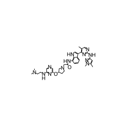 Cc1cnc(Nc2cc(C)n(C)n2)nc1-c1c[nH]c2c(NC(=O)CN3CCC(Oc4cncc(NCCN(C)C)n4)C3)cccc12